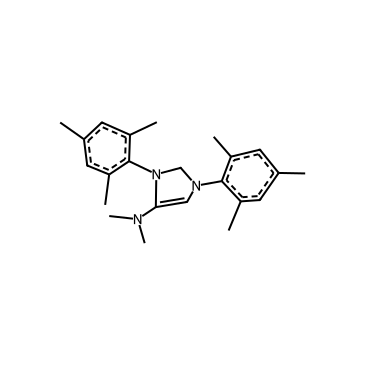 Cc1cc(C)c(N2C=C(N(C)C)N(c3c(C)cc(C)cc3C)C2)c(C)c1